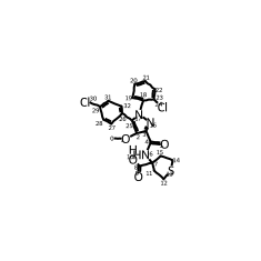 COc1c(C(=O)NC2(C(=O)O)CCSCC2)nn(-c2ccccc2Cl)c1-c1ccc(Cl)cc1